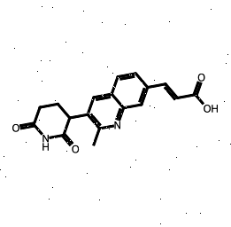 Cc1nc2cc(C=CC(=O)O)ccc2cc1C1CCC(=O)NC1=O